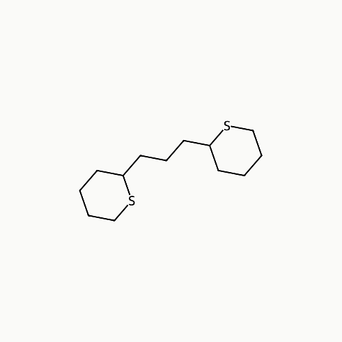 C1CCC(CCCC2CCCCS2)SC1